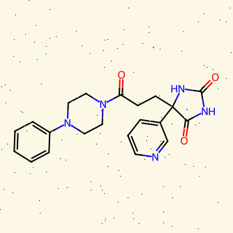 O=C1NC(=O)C(CCC(=O)N2CCN(c3ccccc3)CC2)(c2cccnc2)N1